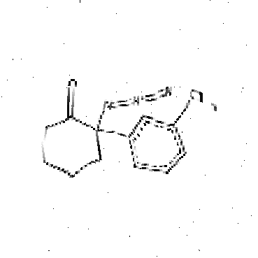 Cc1cccc(C2(N=[N+]=[N-])CCCCC2=O)c1